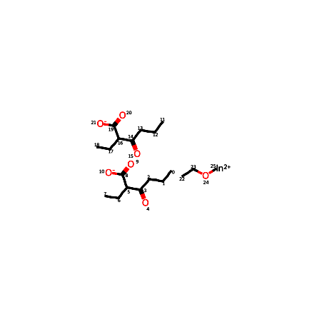 CCCC(=O)C(CC)C(=O)[O-].CCCC(=O)C(CC)C(=O)[O-].CC[O][In+2]